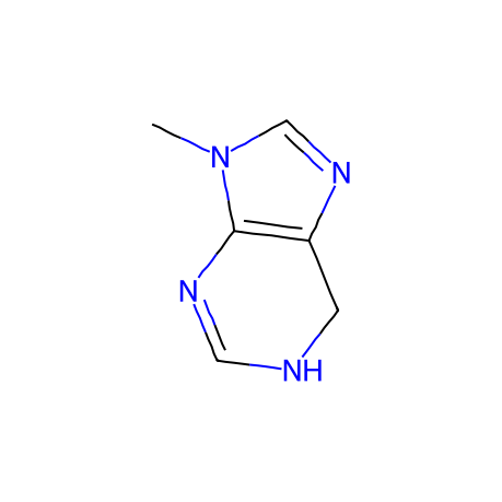 Cn1cnc2c1N=CNC2